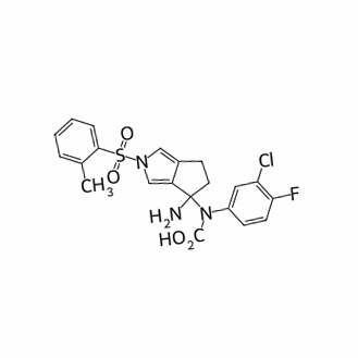 Cc1ccccc1S(=O)(=O)n1cc2c(c1)C(N)(N(C(=O)O)c1ccc(F)c(Cl)c1)CC2